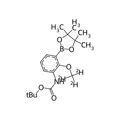 [2H]C([2H])([2H])Oc1c(NC(=O)OC(C)(C)C)cccc1B1OC(C)(C)C(C)(C)O1